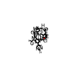 CC(=O)c1nn2c3c(cc(-c4cnc(C)nc4)cc13)CCCCCCC(=O)NC[C@@]13CC(C(=O)N[C@H](C)c4cccc(Cl)c4F)N(C(=O)C2)[C@@H]1C3